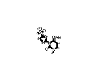 CCS(=O)(=O)c1nnc(N2C(=O)N(C)CCC2OC)s1